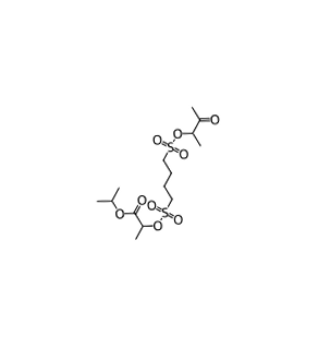 CC(=O)C(C)OS(=O)(=O)CCCCS(=O)(=O)OC(C)C(=O)OC(C)C